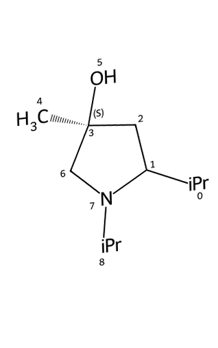 CC(C)C1C[C@](C)(O)CN1C(C)C